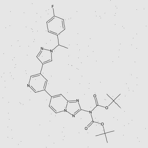 CC(c1ccc(F)cc1)n1cc(-c2cncc(-c3ccn4nc(N(C(=O)OC(C)(C)C)C(=O)OC(C)(C)C)nc4c3)c2)cn1